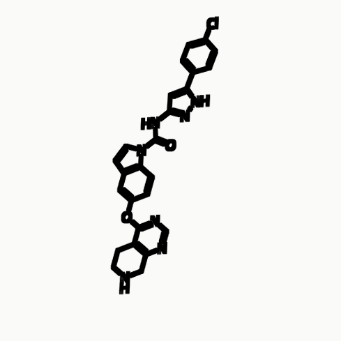 O=C(Nc1cc(-c2ccc(Cl)cc2)[nH]n1)n1ccc2cc(Oc3ncnc4c3CCNC4)ccc21